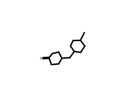 CC1CCC(CC2CCC(=O)CC2)CC1